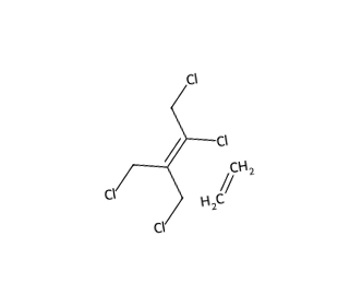 C=C.ClCC(Cl)=C(CCl)CCl